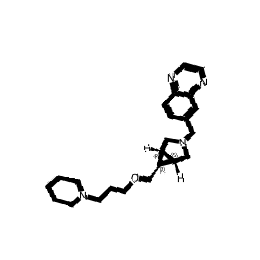 c1cnc2cc(CN3C[C@@H]4[C@@H](COCCCN5CCCCC5)[C@@H]4C3)ccc2n1